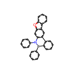 c1ccc(B2c3ccccc3-c3cc4c(cc3N2c2ccccc2)oc2ccccc24)cc1